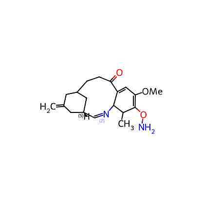 C=C1CC2CCC(=O)C3=CC(OC)=C(ON)C(C)C3/N=C\[C@H](C1)C2